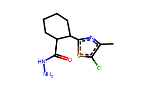 Cc1nc(C2CCCCC2C(=O)NN)sc1Cl